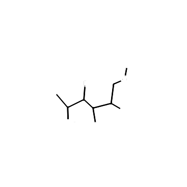 CCC(C(C)C(C)C)C(C)C(C)COCl